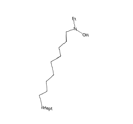 CCCCCCCCCCCCCCCCN(O)CC